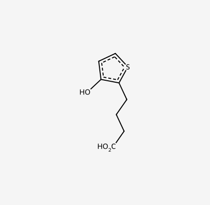 O=C(O)CCCc1sccc1O